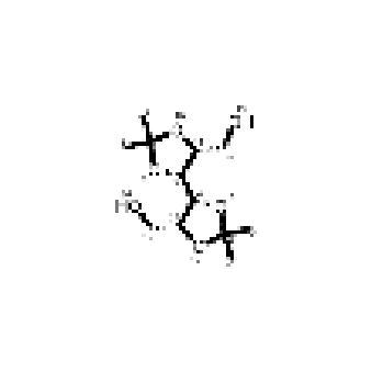 CC1(C)O[C@@H]([C@@H]2OC(C)(C)O[C@@H]2CO)[C@@H](CO)O1